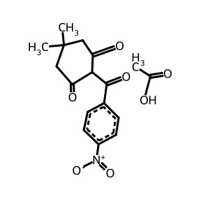 CC(=O)O.CC1(C)CC(=O)C(C(=O)c2ccc([N+](=O)[O-])cc2)C(=O)C1